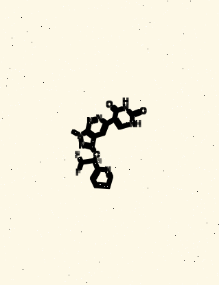 Cn1nc(O[C@@H](c2ccccn2)C(F)F)c2cc(-c3c[nH]c(=O)[nH]c3=O)nnc21